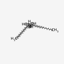 CCCCCCCCCCCCCCCCCC[C@H](O)C(=O)N[C@@H](CO)[C@H](O)CCCCCCCCCCCCCCC